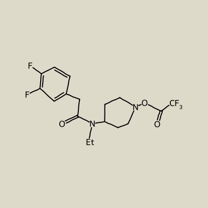 CCN(C(=O)Cc1ccc(F)c(F)c1)C1CCN(OC(=O)C(F)(F)F)CC1